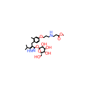 COC(=O)CCNCCCOc1ccc(Cc2c(O[C@@H]3O[C@H](CO)[C@@H](O)[C@H](O)[C@H]3O)n[nH]c2C(C)C)c(C)c1